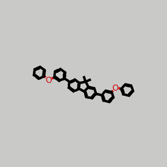 CC1(C)c2cc(-c3cccc(Oc4ccccc4)c3)ccc2-c2ccc(-c3cccc(Oc4ccccc4)c3)cc21